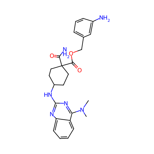 CN(C)c1nc(NC2CCC(C(N)=O)(C(=O)OCc3cccc(N)c3)CC2)nc2ccccc12